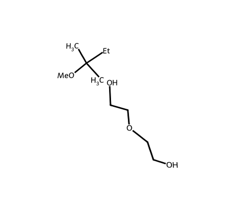 CCC(C)(C)OC.OCCOCCO